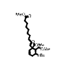 CCCCC1CC=CC(C=CCCCCCCCC(=O)OC)(C(=O)OC)C1C(=O)OC